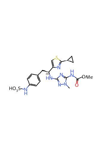 COC(=O)Nc1nc(N[C@@H](Cc2ccc(NS(=O)(=O)O)cc2)c2csc(C3CC3)n2)nn1C